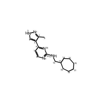 Cc1n[nH]cc1-c1ccnc(NCC2CCCCCC2)n1